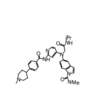 CNC(=O)n1ccc2cc(N(CC(=O)NC(C)C)c3ccnc(NC(=O)c4ccc(C5CCN(C)CC5)cc4)c3)ccc21